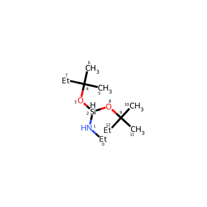 CCN[SiH](OC(C)(C)CC)OC(C)(C)CC